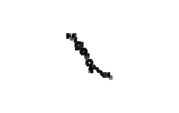 CCCCCCC[C@]1(C#N)CC[C@H](COc2ccc(-c3ncc(CCC)cn3)cc2)CC1